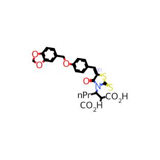 CCCC(C(C(=O)O)C(=O)O)N1C(=O)/C(=C\c2ccc(OCc3ccc4c(c3)OCO4)cc2)SC1=S